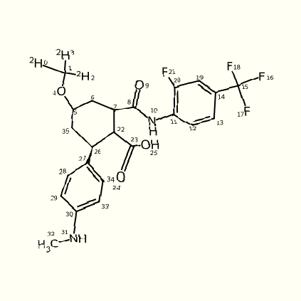 [2H]C([2H])([2H])OC1CC(C(=O)Nc2ccc(C(F)(F)F)cc2F)C(C(=O)O)[C@@H](c2ccc(NC)cc2)C1